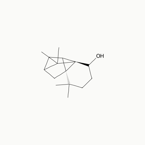 CC1(C)C2CC3[C@@]14C(O)CCC(C)(C)[C@]34C2